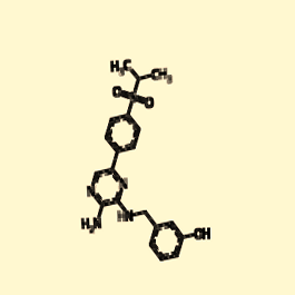 CC(C)S(=O)(=O)c1ccc(-c2cnc(N)c(NCc3cccc(O)c3)n2)cc1